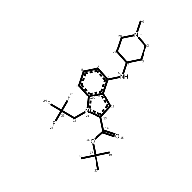 CN1CCC(Nc2cccc3c2cc(C(=O)OC(C)(C)C)n3CC(F)(F)F)CC1